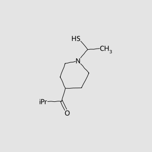 CC(C)C(=O)C1CCN(C(C)S)CC1